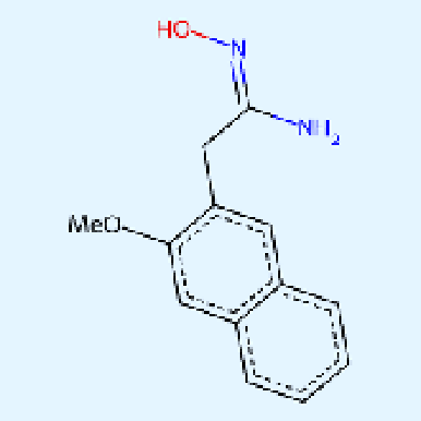 COc1cc2ccccc2cc1C/C(N)=N\O